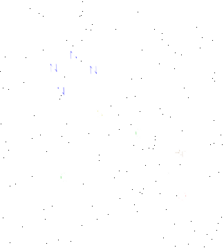 Cn1nnnc1SCc1c(Cl)ccc(C(=O)Br)c1Cl